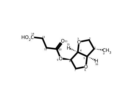 C[C@H]1CO[C@H]2[C@@H]1OC[C@H]2OC(=O)CCC(=O)O